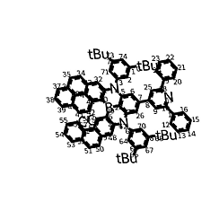 CC(C)(C)c1cc(N2c3cc(-c4cc(-c5ccccc5)nc(-c5ccccc5)c4)cc4c3B(c3c2cc2ccc5cccc6ccc3c2c56)c2c(cc3ccc5cccc6ccc2c3c56)N4c2cc(C(C)(C)C)cc(C(C)(C)C)c2)cc(C(C)(C)C)c1